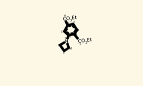 CCOC(=O)c1ccc(C(=O)OCC)c(N2CCC2)c1